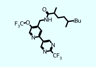 CCC(C)C(C)CCC(C)C(=O)NCc1cc(-c2cnc(C(F)(F)F)nc2)ncc1OC(F)(F)F